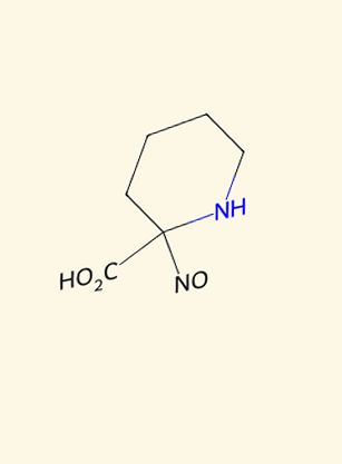 O=NC1(C(=O)O)CCCCN1